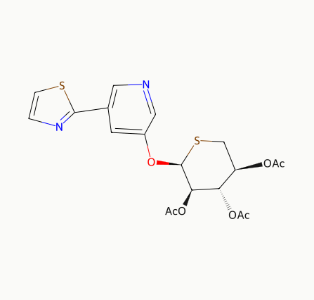 CC(=O)O[C@@H]1[C@@H](OC(C)=O)[C@@H](Oc2cncc(-c3nccs3)c2)SC[C@H]1OC(C)=O